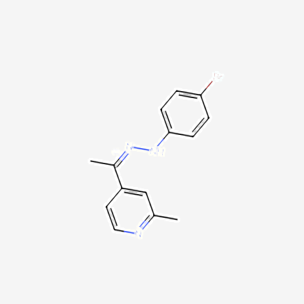 C/C(=N/Nc1ccc(Br)cc1)c1ccnc(C)c1